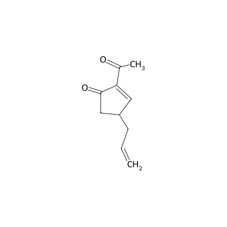 C=CCC1C=C(C(C)=O)C(=O)C1